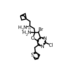 N[C@@H](CC12CC(C1)C2)CC1(N)Oc2c(Cc3cccs3)nc(Cl)nc2C1Br